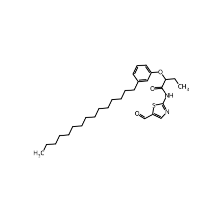 CCCCCCCCCCCCCCCc1cccc(OC(CC)C(=O)Nc2ncc(C=O)s2)c1